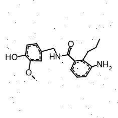 CCCc1c(N)cccc1C(=O)NCc1ccc(O)c(OC)c1